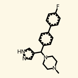 CN1CCN(C(c2ccc(-c3ccc(F)cc3)cc2)c2cn[nH]c2)CC1